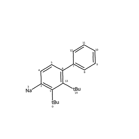 CC(C)(C)c1[c]([Na])ccc(-c2ccccc2)c1C(C)(C)C